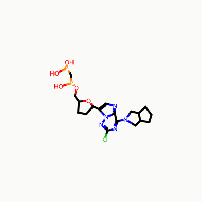 OP(O)CP(O)OCC1CCC(c2cnc3c(N4CC5CCCC5C4)nc(Cl)nn23)O1